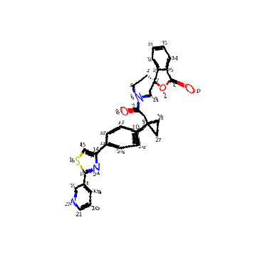 O=C1O[C@]2(CCN(C(=O)C3(c4ccc(-c5csc(-c6cccnc6)n5)cc4)CC3)C2)c2ccccc21